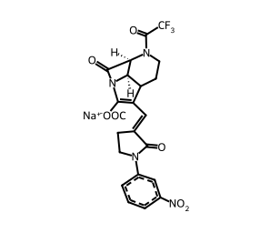 O=C([O-])C1=C(/C=C2\CCN(c3cccc([N+](=O)[O-])c3)C2=O)C2CCN(C(=O)C(F)(F)F)[C@@H]3C(=O)N1[C@H]23.[Na+]